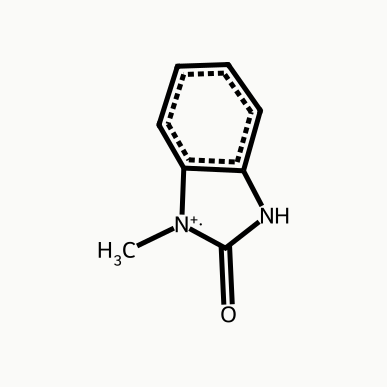 C[N+]1C(=O)Nc2ccccc21